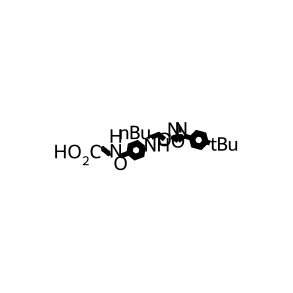 CCCC[C@@H](COc1nnc(-c2ccc(C(C)(C)C)cc2)o1)Nc1ccc(C(=O)NCCC(=O)O)cc1